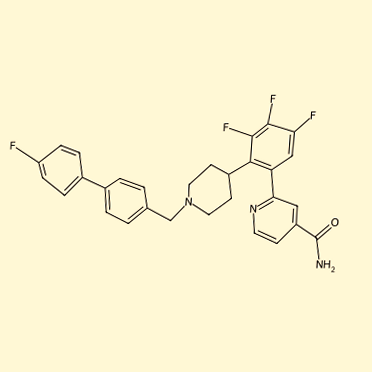 NC(=O)c1ccnc(-c2cc(F)c(F)c(F)c2C2CCN(Cc3ccc(-c4ccc(F)cc4)cc3)CC2)c1